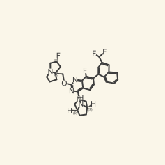 Fc1c(-c2cc(C(F)F)cc3ccccc23)ccc2c(N3C[C@H]4CC[C@@H](C3)N4)nc(OC[C@@]34CCCN3C[C@H](F)C4)nc12